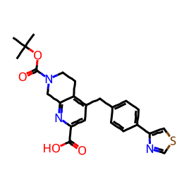 CC(C)(C)OC(=O)N1CCc2c(Cc3ccc(-c4cscn4)cc3)cc(C(=O)O)nc2C1